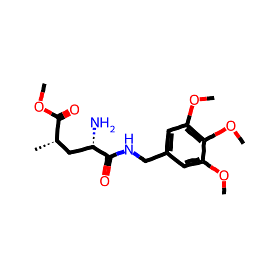 COC(=O)[C@@H](C)C[C@H](N)C(=O)NCc1cc(OC)c(OC)c(OC)c1